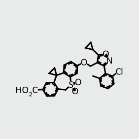 Cc1cccc(Cl)c1-c1noc(C2CC2)c1COc1ccc2c(c1)S(=O)(=O)Cc1ccc(C(=O)O)cc1C21CC1